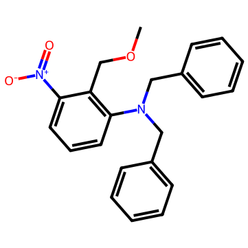 COCc1c(N(Cc2ccccc2)Cc2ccccc2)cccc1[N+](=O)[O-]